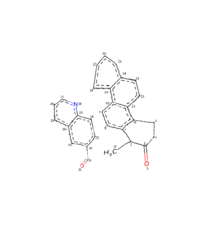 CC1C(=O)CCc2c1ccc1c2ccc2ccccc21.O=Cc1ccc2ncccc2c1